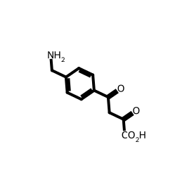 NCc1ccc(C(=O)CC(=O)C(=O)O)cc1